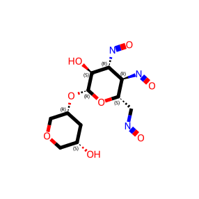 O=NC[C@@H]1O[C@H](O[C@H]2COC[C@@H](O)C2)[C@@H](O)[C@H](N=O)[C@H]1N=O